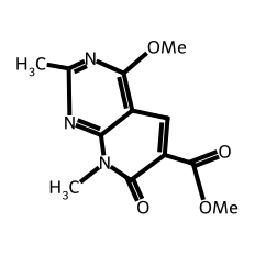 COC(=O)c1cc2c(OC)nc(C)nc2n(C)c1=O